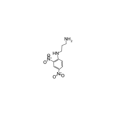 NCCCNc1ccc([N+](=O)[O-])cc1[N+](=O)[O-]